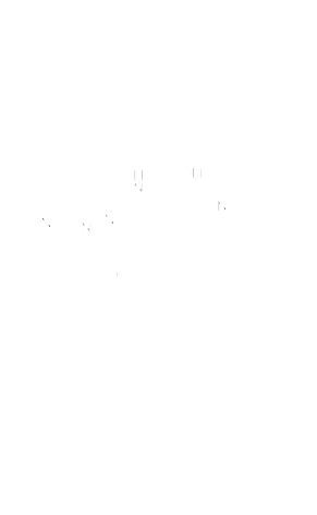 OC(CNc1ccc2ncc(-c3cc4ccccc4o3)n2n1)CN1CCOCC1